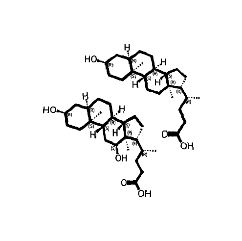 C[C@H](CCC(=O)O)[C@H]1CC[C@H]2[C@@H]3CC[C@@H]4C[C@H](O)CC[C@]4(C)[C@H]3CC[C@]12C.C[C@H](CCC(=O)O)[C@H]1CC[C@H]2[C@@H]3CC[C@@H]4C[C@H](O)CC[C@]4(C)[C@H]3C[C@H](O)[C@]12C